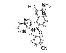 Cc1cc2cc(C(=O)N(Cc3ccc(C#N)cn3)Cc3ncccc3P)ccc2nc1N